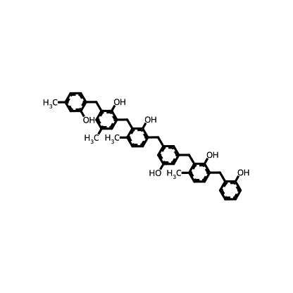 Cc1ccc(Cc2cc(C)cc(Cc3c(C)ccc(Cc4cc(O)cc(Cc5c(C)ccc(Cc6ccccc6O)c5O)c4)c3O)c2O)c(O)c1